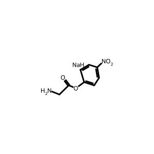 NCC(=O)Oc1ccc([N+](=O)[O-])cc1.[NaH]